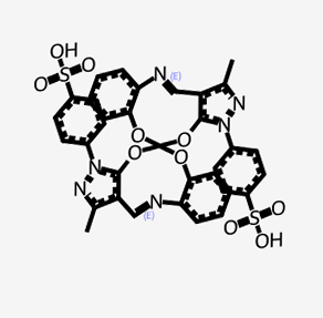 Cc1nn(-c2ccc(S(=O)(=O)O)cc2)c2c1/C=N/c1ccccc1OC1(Oc3ccccc3/N=C/c3c(C)nn(-c4ccc(S(=O)(=O)O)cc4)c3O1)O2